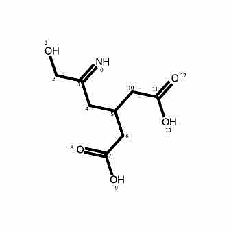 N=C(CO)CC(CC(=O)O)CC(=O)O